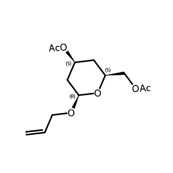 C=CCO[C@H]1C[C@@H](OC(C)=O)C[C@@H](COC(C)=O)O1